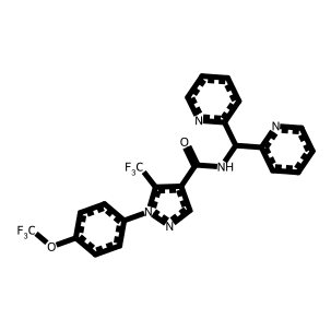 O=C(NC(c1ccccn1)c1ccccn1)c1cnn(-c2ccc(OC(F)(F)F)cc2)c1C(F)(F)F